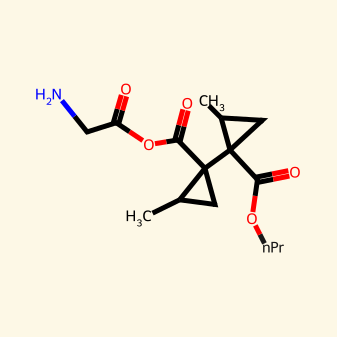 C[CH]COC(=O)C1(C2(C(=O)OC(=O)CN)CC2C)CC1C